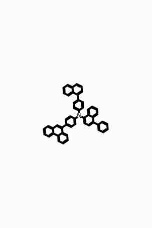 c1ccc(-c2ccc(N(c3ccc(-c4cccc5ccccc45)cc3)c3ccc(-c4cc5ccccc5c5ccccc45)cc3)c3ccccc23)cc1